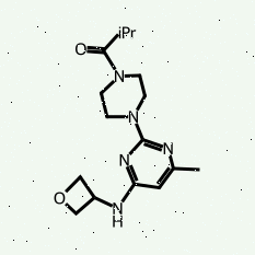 Cc1cc(NC2COC2)nc(N2CCN(C(=O)C(C)C)CC2)n1